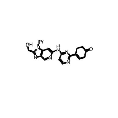 CC(C)n1c(CO)nc2cnc(Nc3ccnc(C4=CCC(=O)CC4)n3)cc21